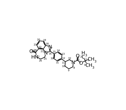 CC(C)(C)OC(=O)N1CCCC(c2ccc(-c3nc4cccc5c4n3CCNC5=O)cc2)C1